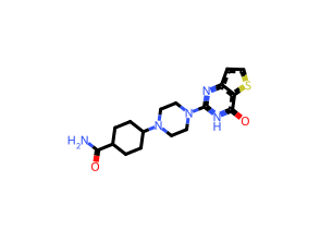 NC(=O)C1CCC(N2CCN(c3nc4ccsc4c(=O)[nH]3)CC2)CC1